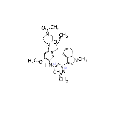 C=C/N=C(\C=C(/C)Nc1cc(CC(=O)C=C)c(N2CCN(C(C)=O)CC2)cc1OC)c1cn(C)c2ccccc12